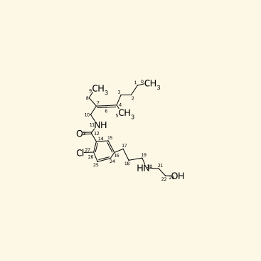 CCCCC(C)=C=C(CC)CNC(=O)c1cc(CCCNCCO)ccc1Cl